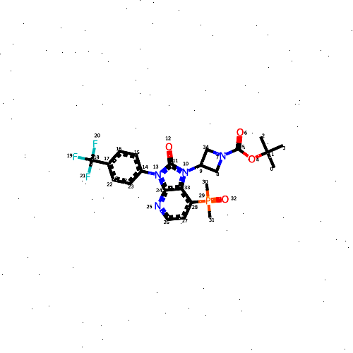 CC(C)(C)OC(=O)N1CC(n2c(=O)n(-c3ccc(C(F)(F)F)cc3)c3nccc(P(C)(C)=O)c32)C1